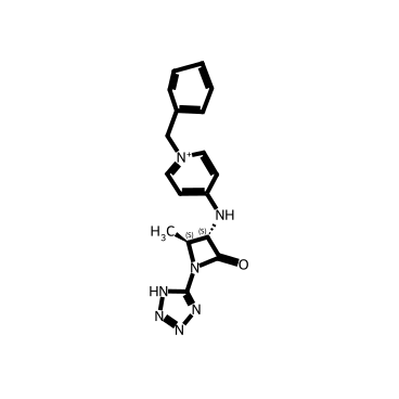 C[C@H]1[C@H](Nc2cc[n+](Cc3ccccc3)cc2)C(=O)N1c1nnn[nH]1